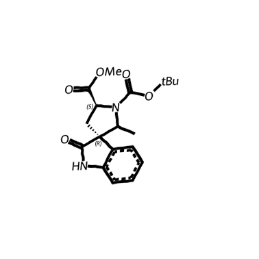 COC(=O)[C@@H]1C[C@]2(C(=O)Nc3ccccc32)C(C)N1C(=O)OC(C)(C)C